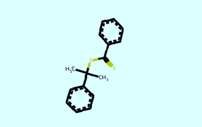 CC(C)(SC(=S)c1ccccc1)c1ccccc1